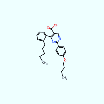 CCCCCc1ccccc1-c1nc(-c2ccc(OCCCC)cc2)ncc1C(=O)O